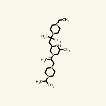 CCN1CCN(C(C)(C)CC2CN([C@H](C)CN3CCN(C(C)C)CC3)CC(C)N2)CC1